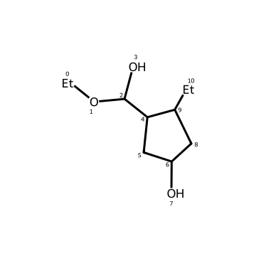 CCOC(O)C1CC(O)CC1CC